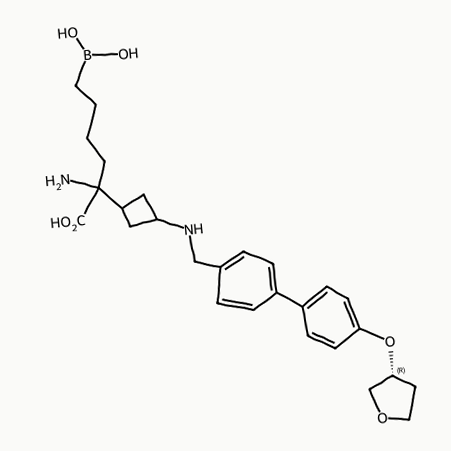 NC(CCCCB(O)O)(C(=O)O)C1CC(NCc2ccc(-c3ccc(O[C@@H]4CCOC4)cc3)cc2)C1